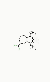 CC(C)C1CCCC(C(F)F)CC1C(C)C